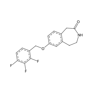 O=C1Cc2ccc(OCc3ccc(F)c(F)c3F)cc2CCN1